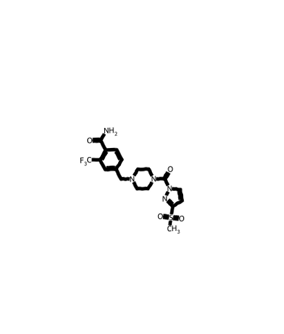 CS(=O)(=O)c1ccn(C(=O)N2CCN(Cc3ccc(C(N)=O)c(C(F)(F)F)c3)CC2)n1